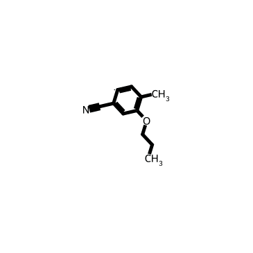 CCCOc1cc(C#N)[c]cc1C